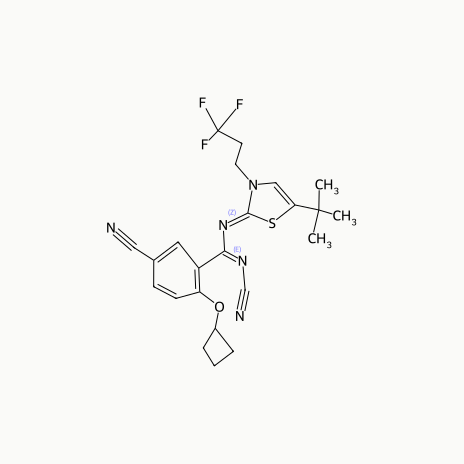 CC(C)(C)c1cn(CCC(F)(F)F)/c(=N/C(=N/C#N)c2cc(C#N)ccc2OC2CCC2)s1